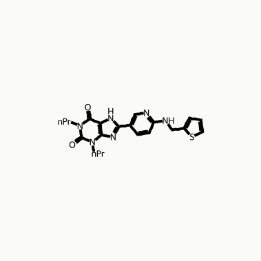 CCCn1c(=O)c2[nH]c(-c3ccc(NCc4cccs4)nc3)nc2n(CCC)c1=O